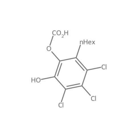 CCCCCCc1c(Cl)c(Cl)c(Cl)c(O)c1OC(=O)O